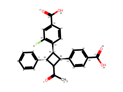 CC(=O)C1[C@H](c2ccccc2)[C@@H](c2ccc(C(=O)O)cc2F)[C@H]1c1ccc(C(=O)O)cc1